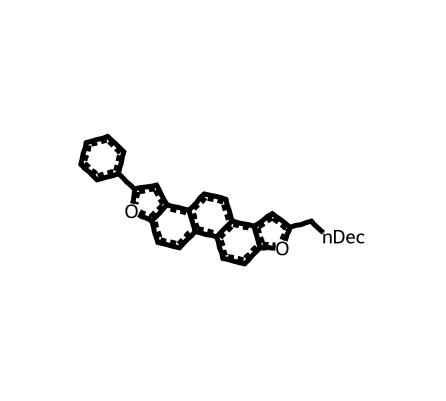 CCCCCCCCCCCc1cc2c(ccc3c2ccc2c4cc(-c5ccccc5)oc4ccc23)o1